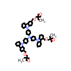 CCC1(COCc2ccc3c(c2)c2ccccc2n3-c2ccc(N(c3ccc(-n4c5ccccc5c5ccc(COCC6(CC)COC6)cc54)cc3)c3ccc(-n4c5ccccc5c5c(COCC6(CC)COC6)cccc54)cc3)cc2)COC1